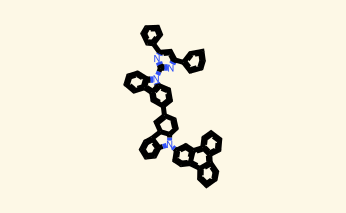 C1=CC2C(C=C1c1ccc3c(c1)c1ccccc1n3-c1nc(-c3ccccc3)cc(-c3ccccc3)n1)c1ccccc1N2c1ccc2c3ccccc3c3ccccc3c2c1